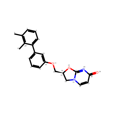 Cc1cccc(-c2cccc(OC[C@@H]3Cn4ccc(=O)nc4O3)c2)c1C